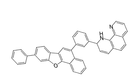 C1=CC(c2cccc(-c3cc4c5ccc(-c6ccccc6)cc5oc4c4ccccc34)c2)Nc2c1ccc1cccnc21